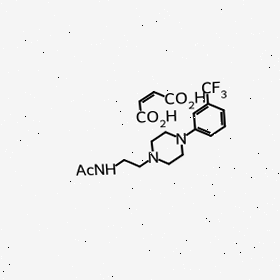 CC(=O)NCCN1CCN(c2cccc(C(F)(F)F)c2)CC1.O=C(O)/C=C\C(=O)O